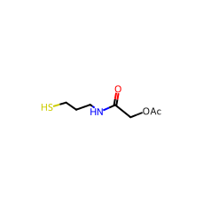 CC(=O)OCC(=O)NCCCS